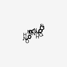 CNC(=O)C1CCC(n2ncc3cnc(Nc4cc5c(cc4OC)CCN(C)C5)nc32)C1